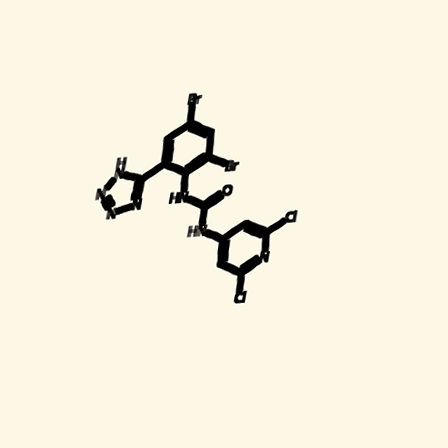 O=C(Nc1cc(Cl)nc(Cl)c1)Nc1c(Br)cc(Br)cc1-c1nnn[nH]1